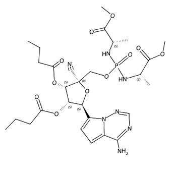 CCCC(=O)O[C@H]1[C@H](c2ccc3c(N)ncnn23)O[C@](C#N)(COP(=O)(N[C@@H](C)C(=O)OC)N[C@@H](C)C(=O)OC)[C@H]1OC(=O)CCC